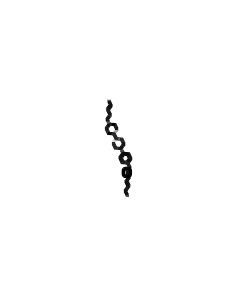 CC=CCC[C@H]1CC[C@H]([C@H]2CC[C@H](c3ccc(COCC=CCC)cc3)CC2)CC1